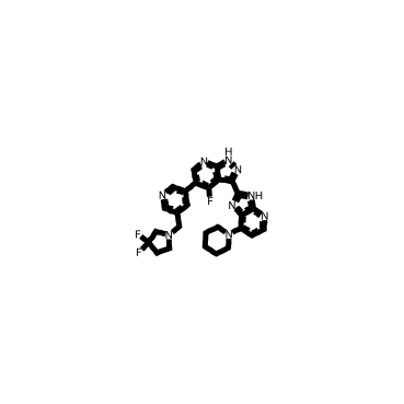 Fc1c(-c2cncc(CN3CCC(F)(F)C3)c2)cnc2[nH]nc(-c3nc4c(N5CCCCC5)ccnc4[nH]3)c12